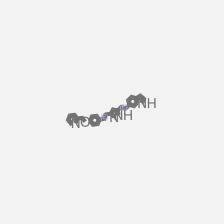 C(=C\c1cc(/C=C/c2ccc3cc[nH]c3c2)[nH]n1)/c1ccc(OCc2ccccn2)cc1